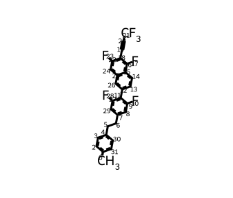 Cc1ccc(CCc2cc(F)c(-c3ccc4c(F)c(C#CC(F)(F)F)c(F)cc4c3)c(F)c2)cc1